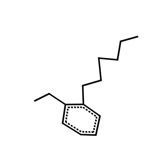 CCCCCCc1ccccc1CC